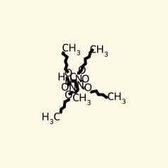 CCCCCCOCN1C(=O)N(COCCCCCC)C2(CCC)N(COCCCCCC)C(=O)N(COCCCCCC)C12C